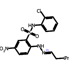 CC(C)C/C=N/Nc1ccc([N+](=O)[O-])cc1S(=O)(=O)Nc1ccccc1Cl